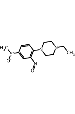 CCN1CCN(c2ccc([S+](C)[O-])cc2N=O)CC1